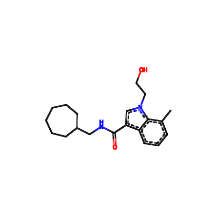 Cc1cccc2c(C(=O)NCC3CCCCCC3)cn(CCO)c12